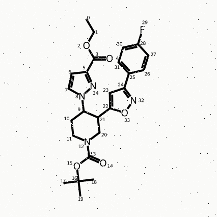 CCOC(=O)c1ccn(C2CCN(C(=O)OC(C)(C)C)CC2c2cc(-c3ccc(F)cc3)no2)n1